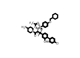 COc1cc(C(F)(F)[C@@H](C(=O)N2CCC(N)CC2)N(OC(=O)C(F)(F)F)S(=O)(=O)c2ccc(OCC3CCCCC3)cc2)ccc1-c1ccc(Cl)cc1